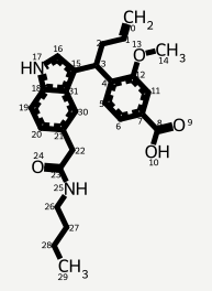 C=CCC(c1ccc(C(=O)O)cc1OC)c1c[nH]c2ccc(CC(=O)NCCCC)cc12